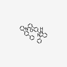 C1=CC2=C(c3ccccc3)N=C(c3ccc4c(c3)oc3c(-n5c6ccccc6c6ccc(-c7ccccc7)cc65)cccc34)NC2C=C1